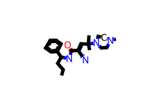 CCCC(c1ccccc1)N(C)C(=O)C(C#N)=CC(C)(C)N1CCN(C)CC1